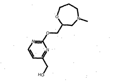 CN1CCCOC(COc2nccc(CO)n2)C1